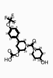 O=C(O)OC1CC(c2ccc(OC(F)(F)F)cc2)CN(C(=O)N2CCC(O)CC2)C1